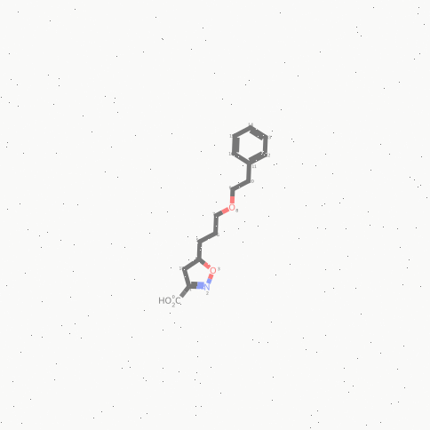 O=C(O)C1=NOC(CCCOCCc2ccccc2)C1